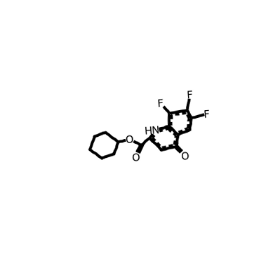 O=C(OC1CCCCC1)c1cc(=O)c2cc(F)c(F)c(F)c2[nH]1